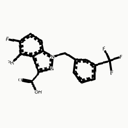 [2H]c1c(F)ccc2c1c(C(=O)O)nn2Cc1cccc(C(F)(F)F)c1